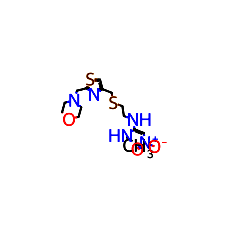 CNC(=C[N+](=O)[O-])NCCSCc1csc(CN2CCOCC2)n1